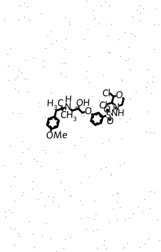 COc1ccc(CC(C)(C)NC[C@@H](O)COc2cccc(S(=O)(=O)NN3CCOC(Cl)C3Cl)c2)cc1